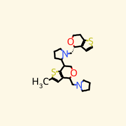 Cc1cc2c(s1)C(C1CCCN1C[C@@H]1OCCc3sccc31)COC2CN1CCCC1